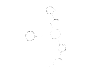 CCOC(=O)c1cnc(N2CCC(NC(=O)c3ncc[nH]3)C(OCc3ccccc3)C2)s1